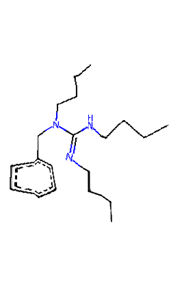 CCCCN=C(NCCCC)N(CCCC)Cc1ccccc1